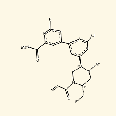 C=CC(=O)N1C[C@@H](c2cc(Cl)nc(-c3cc(F)nc(C(=O)NC)c3)c2)N(C(C)=O)C[C@@H]1CF